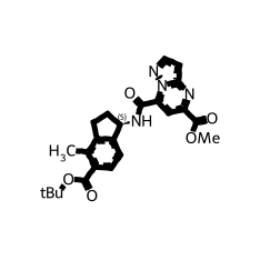 COC(=O)c1cc(C(=O)N[C@H]2CCc3c2ccc(C(=O)OC(C)(C)C)c3C)n2nccc2n1